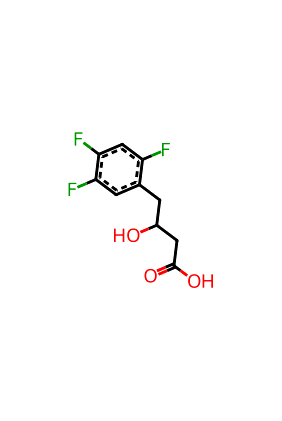 O=C(O)CC(O)Cc1cc(F)c(F)cc1F